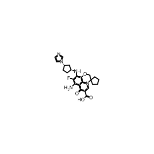 Nc1c(F)c(N[C@H]2CC[C@H](n3ccnc3)C2)c2c3c1c(=O)c(C(=O)O)cn3C1(CCCC1)CO2